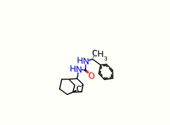 C[C@@H](NC(=O)NC1C2CCCC3(C2)CC1C3)c1ccccc1